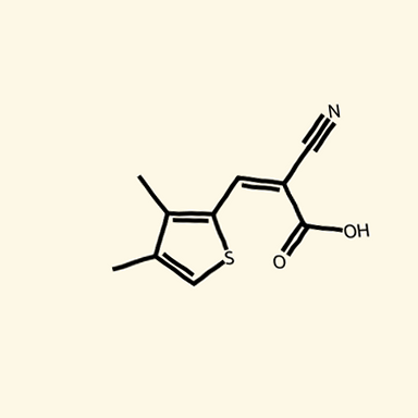 Cc1csc(C=C(C#N)C(=O)O)c1C